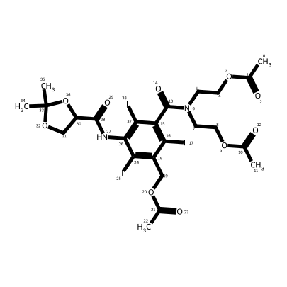 CC(=O)OCCN(CCOC(C)=O)C(=O)c1c(I)c(COC(C)=O)c(I)c(NC(=O)C2COC(C)(C)O2)c1I